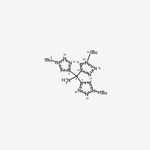 CC(C)(C)n1cc(C(N)(c2cn(C(C)(C)C)nn2)c2cn(C(C)(C)C)nn2)nn1